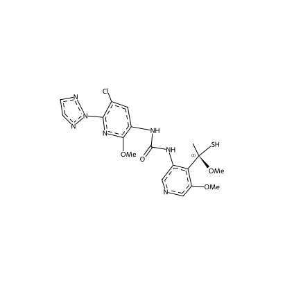 COc1cncc(NC(=O)Nc2cc(Cl)c(-n3nccn3)nc2OC)c1[C@](C)(S)OC